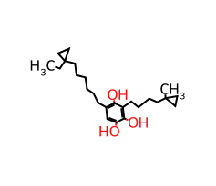 CCC1(CCCCCCc2cc(O)c(O)c(CCCCC3(C)CC3)c2O)CC1